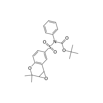 CC(C)(C)OC(=O)N(c1ccccc1)S(=O)(=O)c1ccc2c(c1)C1OC1C(C)(C)O2